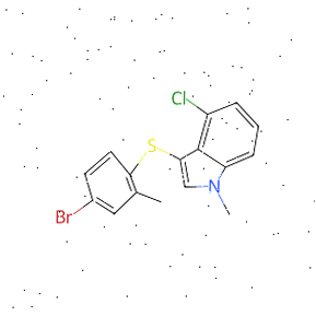 Cc1cc(Br)ccc1Sc1cn(C)c2cccc(Cl)c12